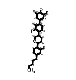 CCCCCc1ccc(C2CCC(c3ccc(-c4cc(F)c(F)c(F)c4)c(F)c3F)CO2)c(F)c1